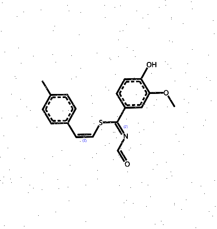 COc1cc(/C(=N/C=O)S/C=C\c2ccc(C)cc2)ccc1O